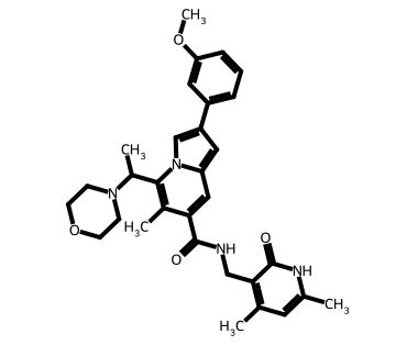 COc1cccc(-c2cc3cc(C(=O)NCc4c(C)cc(C)[nH]c4=O)c(C)c(C(C)N4CCOCC4)n3c2)c1